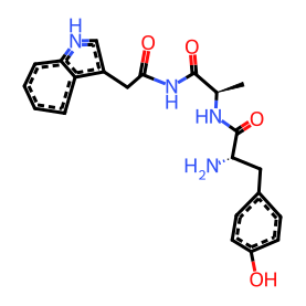 C[C@@H](NC(=O)[C@@H](N)Cc1ccc(O)cc1)C(=O)NC(=O)Cc1c[nH]c2ccccc12